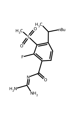 CCCCC(C)c1ccc(C(=O)N=C(N)N)c(F)c1S(C)(=O)=O